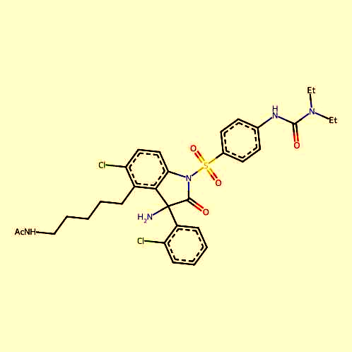 CCN(CC)C(=O)Nc1ccc(S(=O)(=O)N2C(=O)C(N)(c3ccccc3Cl)c3c2ccc(Cl)c3CCCCCNC(C)=O)cc1